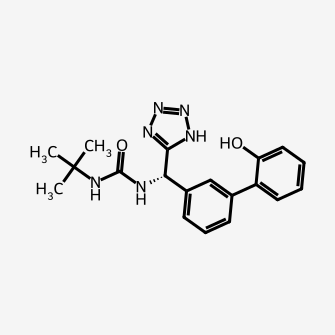 CC(C)(C)NC(=O)N[C@@H](c1cccc(-c2ccccc2O)c1)c1nnn[nH]1